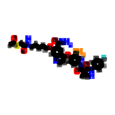 CC(=O)SCC(=O)NCCCCCOc1cc2nccc(Oc3ccc(NC(=O)C4(C(=O)Nc5ccc(F)cc5)CC4)cc3P)c2cc1C(N)=O